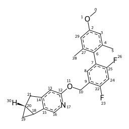 COc1cc(C)c(-c2cc(COc3cc4c(cn3)C3C[C@@H]3C4)c(F)cc2F)c(C)c1